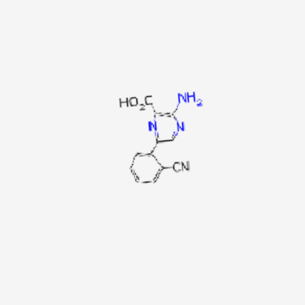 N#Cc1ccccc1-c1cnc(N)c(C(=O)O)n1